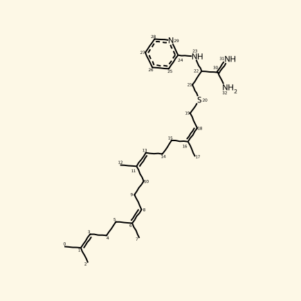 CC(C)=CCCC(C)=CCCC(C)=CCCC(C)=CCSCC(Nc1ccccn1)C(=N)N